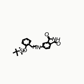 CC(C)(C)[Si](C)(C)Oc1ccccc1CCNc1ccc2c(c1)C(=O)NC2=O